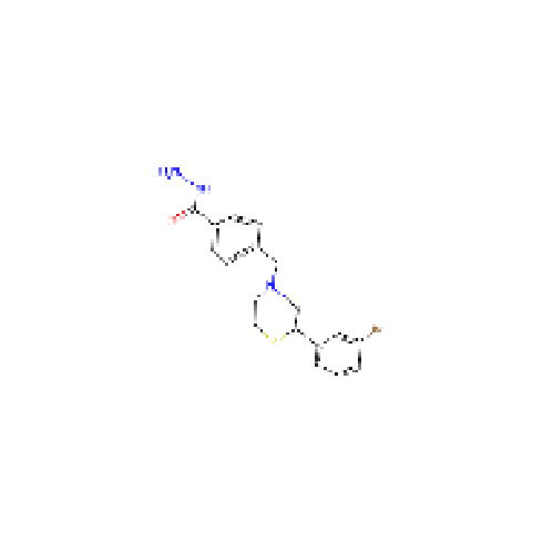 NNC(=O)c1ccc(CN2CCSC(c3cccc(Br)c3)C2)cc1